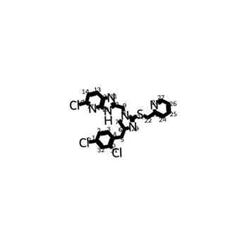 Clc1ccc(CC2CN(Cc3nc4ccc(Cl)nc4[nH]3)C(SCc3ccccn3)=N2)c(Cl)c1